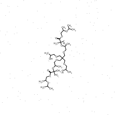 CC(O)COCC(COCC(C)O)(COCC(C)OC(C)(C)C(=O)OCC(C)OC(C)C)COCC(C)OC(C)(P)C(=O)OCC(C)OC(C)C